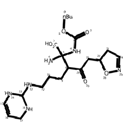 CCCCOC(=O)NC(N)(C(=O)O)C(CCCNC1NC=CCN1)C(=O)CC1CC=NO1